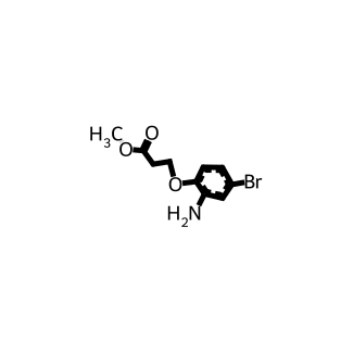 COC(=O)CCOc1ccc(Br)cc1N